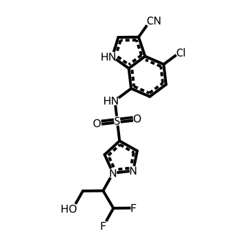 N#Cc1c[nH]c2c(NS(=O)(=O)c3cnn(C(CO)C(F)F)c3)ccc(Cl)c12